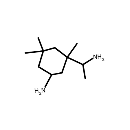 CC(N)C1(C)CC(N)CC(C)(C)C1